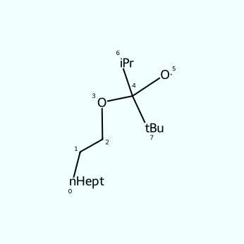 CCCCCCCCCOC([O])(C(C)C)C(C)(C)C